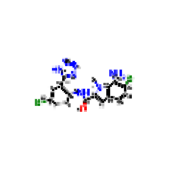 Cn1c(C(=O)Nc2ccc(Br)cc2-c2nnn[nH]2)cc2ccc(Br)c(N)c21